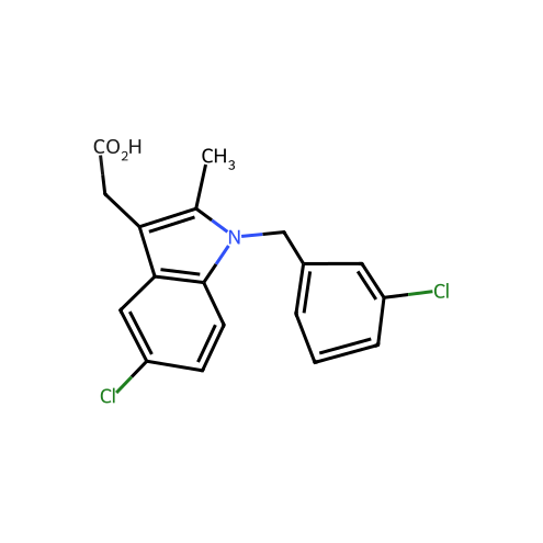 Cc1c(CC(=O)O)c2cc(Cl)ccc2n1Cc1cccc(Cl)c1